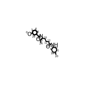 COc1cccc(-c2nc(CCCC(=O)NC3CCC(C)CC3)c(C)o2)c1